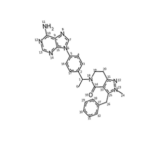 CC(c1ccc(-n2cnc3c(N)ncnc32)cc1)N1CCc2nn(C)c(Cc3ccccc3)c2C1=O